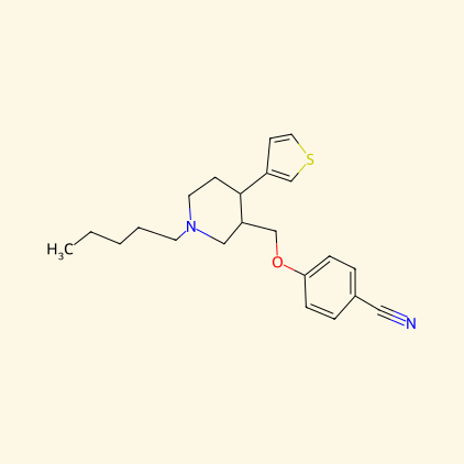 CCCCCN1CCC(c2ccsc2)C(COc2ccc(C#N)cc2)C1